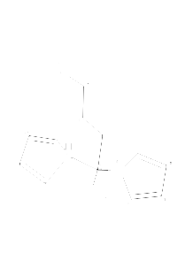 [CH2]C(CCCC)([SH]1C=CC=C1)[SH]1C=CC=C1